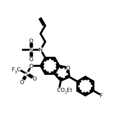 C=CCCN(c1cc2oc(-c3ccc(F)cc3)c(C(=O)OCC)c2cc1OS(=O)(=O)C(F)(F)F)S(C)(=O)=O